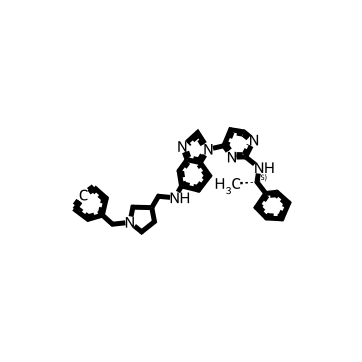 C[C@H](Nc1nccc(-n2cnc3cc(NCC4CCN(Cc5ccccc5)C4)ccc32)n1)c1ccccc1